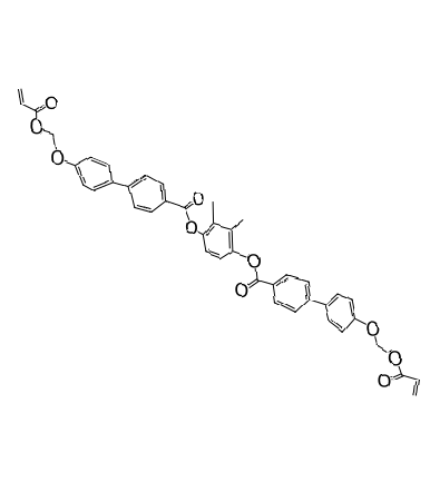 C=CC(=O)OCOc1ccc(-c2ccc(C(=O)Oc3ccc(OC(=O)c4ccc(-c5ccc(OCOC(=O)C=C)cc5)cc4)c(C)c3C)cc2)cc1